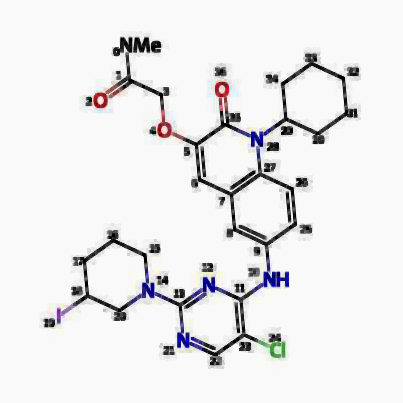 CNC(=O)COc1cc2cc(Nc3nc(N4CCCC(I)C4)ncc3Cl)ccc2n(C2CCCCC2)c1=O